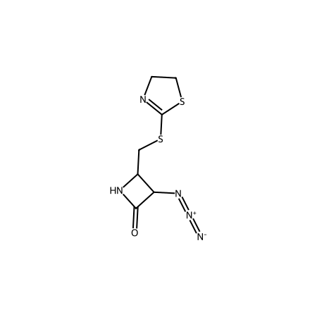 [N-]=[N+]=NC1C(=O)NC1CSC1=NCCS1